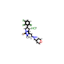 Cl.Cn1c(CCNCC2CCOCC2)c2n(c1=S)CC(c1c(F)ccc(F)c1F)C2